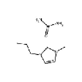 CCCN1C=CN(C)C1.NC(N)=O